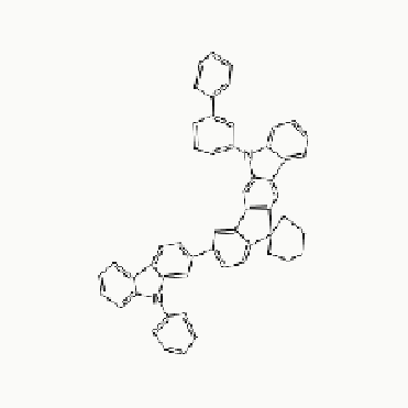 c1ccc(-c2cccc(-n3c4ccccc4c4cc5c(cc43)-c3cc(-c4ccc6c7ccccc7n(-c7ccccc7)c6c4)ccc3C53CCCCC3)c2)cc1